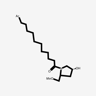 COCC1C[C@@H](O)CN1C(=O)CCCCCCCCCCC(C)=O